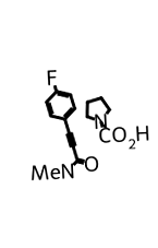 CNC(=O)C#Cc1ccc(F)cc1.O=C(O)N1CCCC1